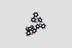 N#Cc1c(-n2c3ccccc3c3ccccc32)cccc1-n1c2ccccc2c2cc(-c3ccc4c(c3)C3(c5ccccc5O4)c4cccnc4-c4ncccc43)ccc21